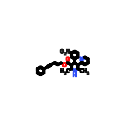 CC1=C(C(=O)OCC=CC#Cc2ccccc2)C(c2cccc([N+](=O)[O-])c2)C(c2ccccn2)=C(C)N1